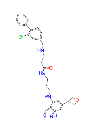 O=C(CCNCc1ccc(-c2ccccc2)c(Cl)c1)NCCCNc1cc(C2COC2)cc2[nH]ncc12